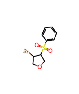 O=S(=O)(c1ccccc1)C1COCC1Br